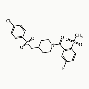 CS(=O)(=O)c1ccc(F)cc1C(=O)N1CCC(CS(=O)(=O)c2ccc(Cl)cc2)CC1